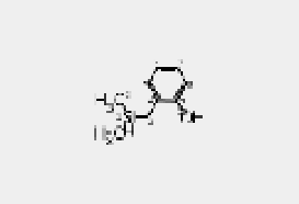 C[SiH](C)Cc1ccccc1O